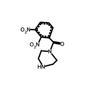 O=C(c1cccc([N+](=O)[O-])c1[N+](=O)[O-])N1CCNCC1